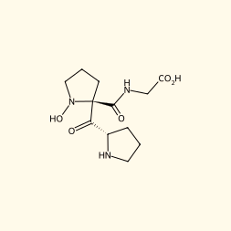 O=C(O)CNC(=O)[C@]1(C(=O)[C@@H]2CCCN2)CCCN1O